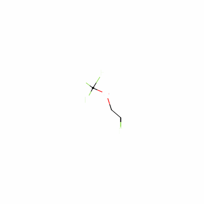 FCCOC(F)(F)F